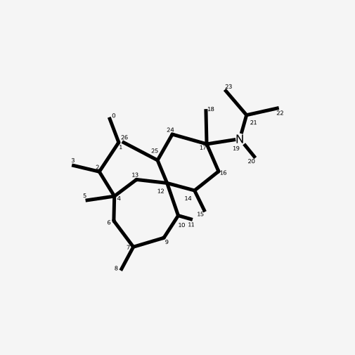 CCC(C)C1(C)CC(C)CC(C)C2(C1)C(C)CC(C)(N(C)C(C)C)CC2C